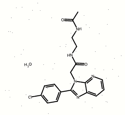 CC(=O)NCCNC(=O)Cn1c(-c2ccc(Cl)cc2)nc2cccnc21.O